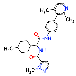 Cc1ccnc(C)c1-c1ccc(NC(=O)[C@@H](NC(=O)c2ccnn2C)C2CCC(C)CC2)cc1